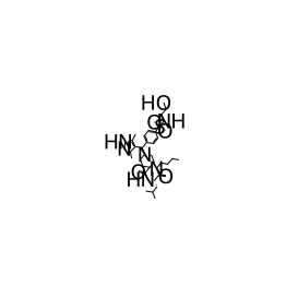 CCCCN1C(=O)[C@H](CC(C)C)NC(=O)C12CCN(C(c1ccc(S(=O)(=O)NCCO)cc1)c1c(C)n[nH]c1C)CC2